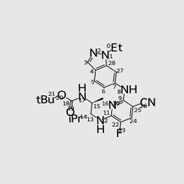 CCn1ncc2ccc(Nc3nc(N[C@H](C(C)C)[C@H](C)NC(=O)OC(C)(C)C)c(F)cc3C#N)cc21